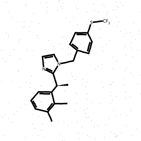 Cc1cccc([C@H](C)c2nccn2Cc2ccc(SC(F)(F)F)cc2)c1C